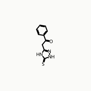 O=C(Cc1n[nH]c(=S)[nH]1)c1ccccc1